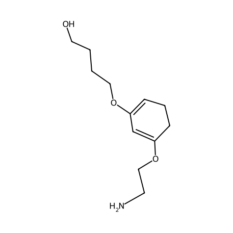 NCCOC1=CC(OCCCCO)=CCC1